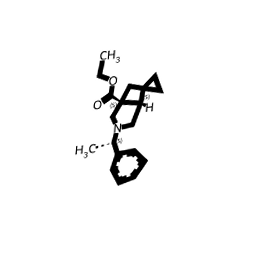 CCOC(=O)[C@]12CN([C@@H](C)c3ccccc3)C[C@H]1C1(CC1)C2